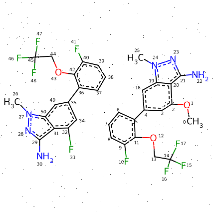 COc1cc(-c2cccc(F)c2OCC(F)(F)F)cc2c1c(N)nn2C.Cn1nc(N)c2c(F)cc(-c3cccc(F)c3OCC(F)(F)F)cc21